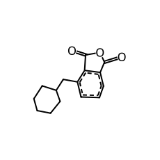 O=C1OC(=O)c2c(CC3CCCCC3)cccc21